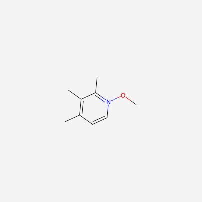 CO[n+]1ccc(C)c(C)c1C